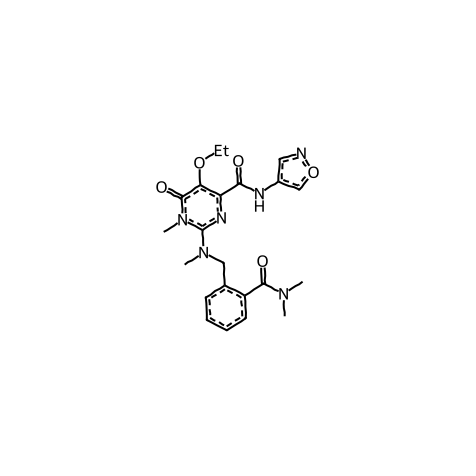 CCOc1c(C(=O)Nc2cnoc2)nc(N(C)Cc2ccccc2C(=O)N(C)C)n(C)c1=O